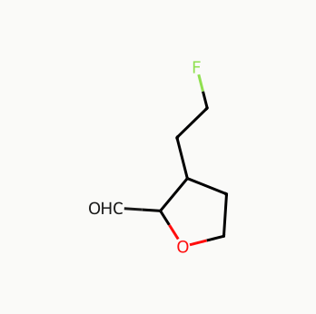 O=CC1OCCC1CCF